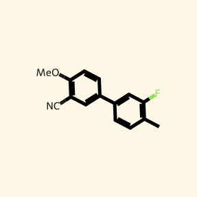 COc1ccc(-c2ccc(C)c(F)c2)cc1C#N